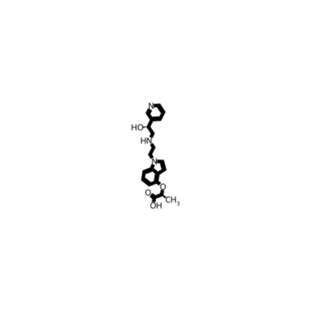 C[C@H](Oc1cccc2c1ccn2CCNC[C@H](O)c1cccnc1)C(=O)O